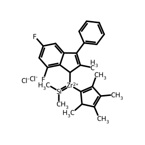 CC1=C(C)C(C)[C]([Zr+2]([CH]2C(C)=C(c3ccccc3)c3cc(F)cc(F)c32)=[Si](C)C)=C1C.[Cl-].[Cl-]